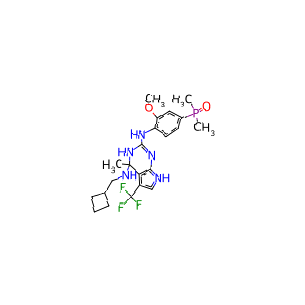 COc1cc(P(C)(C)=O)ccc1NC1=Nc2[nH]cc(C(F)(F)F)c2C(C)(NCC2CCC2)N1